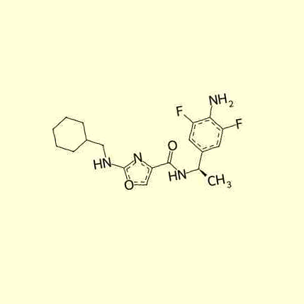 C[C@@H](NC(=O)c1coc(NCC2CCCCC2)n1)c1cc(F)c(N)c(F)c1